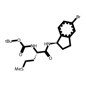 CSCC[C@H](NC(=O)OC(C)(C)C)C(=O)N[C@@H]1CCc2cc(Br)ccc21